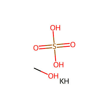 CO.O=S(=O)(O)O.[KH]